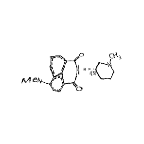 CNc1ccc2c3c(cccc13)C(=O)N([C@H]1CCCN(C)C1)C2=O